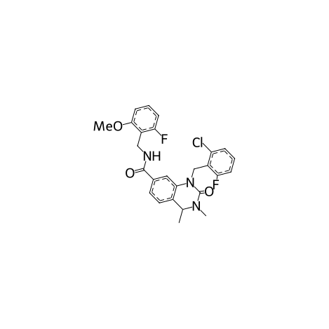 COc1cccc(F)c1CNC(=O)c1ccc2c(c1)N(Cc1c(F)cccc1Cl)C(=O)N(C)C2C